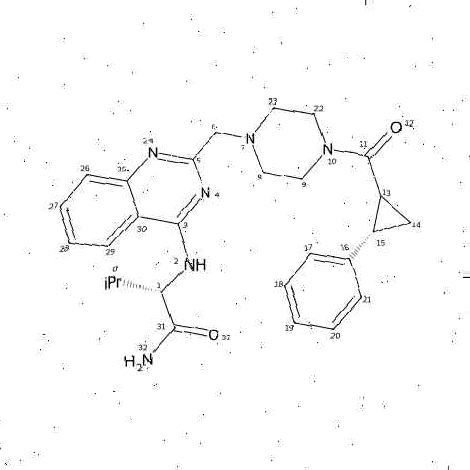 CC(C)[C@H](Nc1nc(CN2CCN(C(=O)C3C[C@@H]3c3ccccc3)CC2)nc2ccccc12)C(N)=O